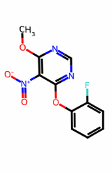 COc1ncnc(Oc2ccccc2F)c1[N+](=O)[O-]